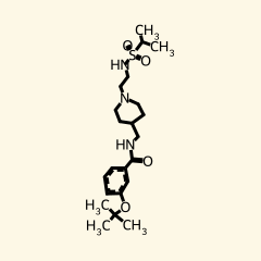 CC(C)S(=O)(=O)NCCN1CCC(CNC(=O)c2cccc(OC(C)(C)C)c2)CC1